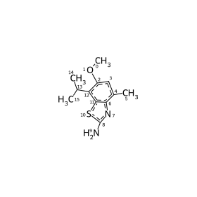 COc1cc(C)c2nc(N)sc2c1C(C)C